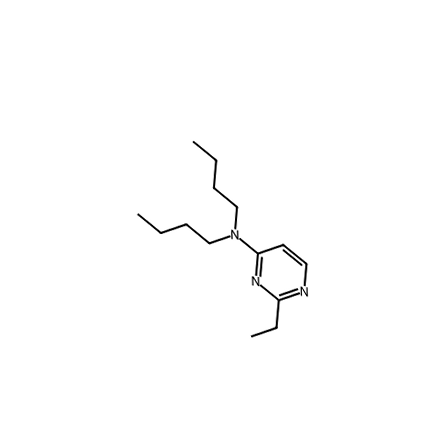 CCCCN(CCCC)c1ccnc(CC)n1